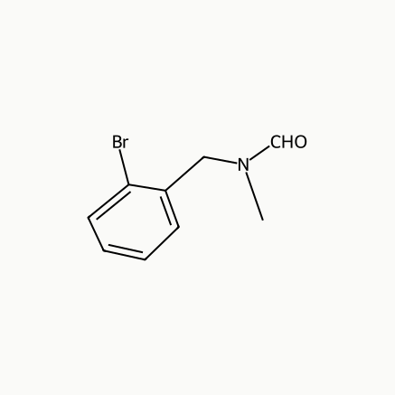 CN(C=O)Cc1ccccc1Br